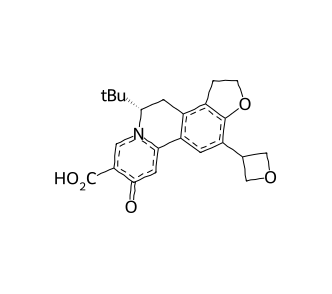 CC(C)(C)[C@@H]1Cc2c(cc(C3COC3)c3c2CCO3)-c2cc(=O)c(C(=O)O)cn21